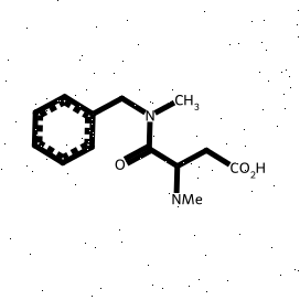 CNC(CC(=O)O)C(=O)N(C)Cc1ccccc1